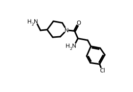 NCC1CCN(C(=O)C(N)Cc2ccc(Cl)cc2)CC1